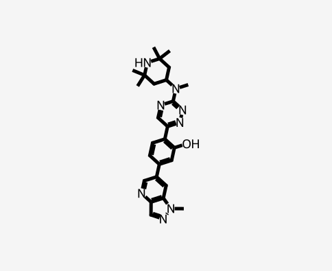 CN(c1ncc(-c2ccc(-c3cnc4cnn(C)c4c3)cc2O)nn1)C1CC(C)(C)NC(C)(C)C1